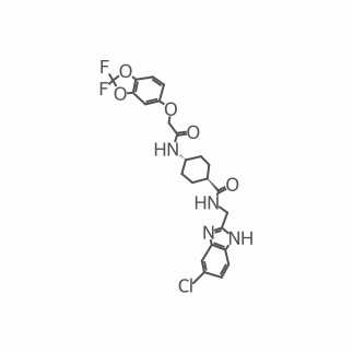 O=C(COc1ccc2c(c1)OC(F)(F)O2)N[C@H]1CC[C@H](C(=O)NCc2nc3cc(Cl)ccc3[nH]2)CC1